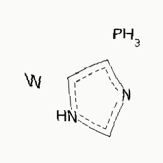 P.[W].c1c[nH]cn1